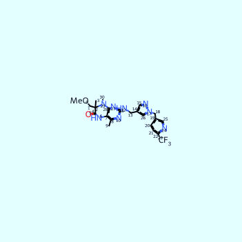 COCC1(C)C(=O)Nc2c(C)nc(NCc3cnn(Cc4ccc(C(F)(F)F)nc4)c3)nc2N1C